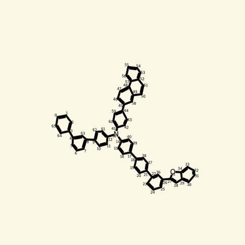 c1ccc(-c2cccc(-c3ccc(N(c4ccc(-c5ccc(-c6cccc(-c7cc8ccccc8o7)c6)cc5)cc4)c4ccc(-c5ccc6c(ccc7ccccc76)c5)cc4)cc3)c2)cc1